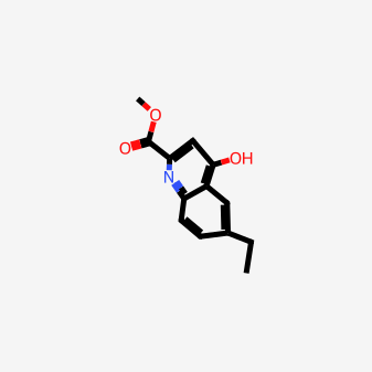 CCc1ccc2nc(C(=O)OC)cc(O)c2c1